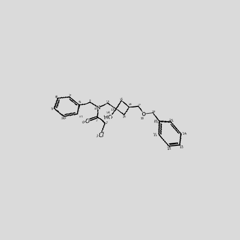 O=C(CCl)N(Cc1ccccc1)CC1(O)CC(COCc2ccccc2)C1